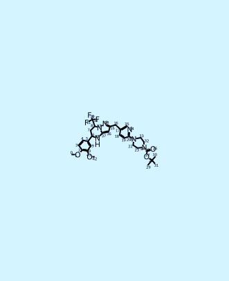 COc1ccc(C2CC(C(F)(F)F)n3nc(Cc4ccc(N5CCN(C(=O)OC(C)(C)C)CC5)nc4)cc3N2)cc1OC